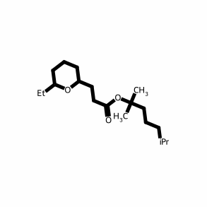 CCC1CCCC(CCC(=O)OC(C)(C)CCCC(C)C)O1